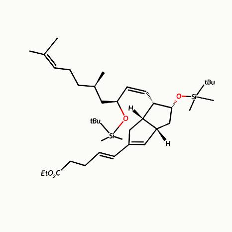 CCOC(=O)CCC=CC1=C[C@H]2C[C@@H](O[Si](C)(C)C(C)(C)C)[C@@H](/C=C\[C@H](C[C@H](C)CCC=C(C)C)O[Si](C)(C)C(C)(C)C)[C@H]2C1